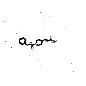 O=C(O)/C=C/C1CCN(C(=O)OCc2ccccc2)CC1